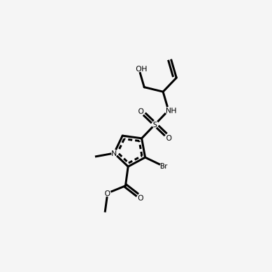 C=CC(CO)NS(=O)(=O)c1cn(C)c(C(=O)OC)c1Br